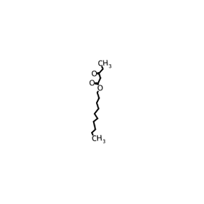 CCCCCCCCCCOC(=O)CC(=O)CC